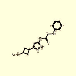 CC(=O)NC1CC(c2cc(NC(=O)CNc3ccccc3)[nH]n2)C1